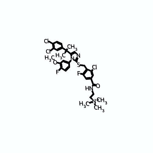 COc1cc(-n2c(C(C)(C)c3ccc(Cl)c(Cl)c3)cnc2SCc2c(F)cc(C(=O)NCC[N+](C)(C)C)cc2Cl)ccc1F